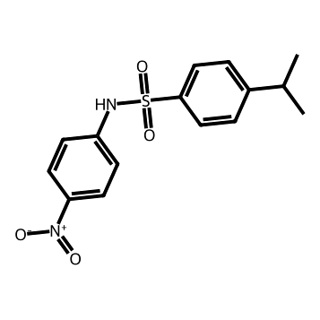 CC(C)c1ccc(S(=O)(=O)Nc2ccc([N+](=O)[O-])cc2)cc1